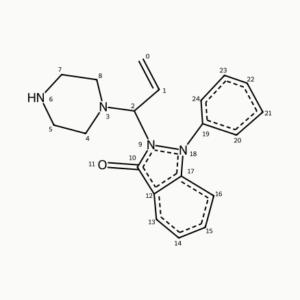 C=CC(N1CCNCC1)n1c(=O)c2ccccc2n1-c1ccccc1